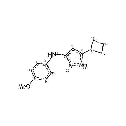 COc1ccc(Nc2cc(C3CCC3)[nH]n2)cc1